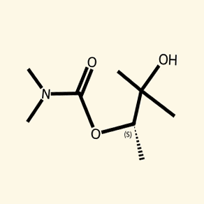 C[C@H](OC(=O)N(C)C)C(C)(C)O